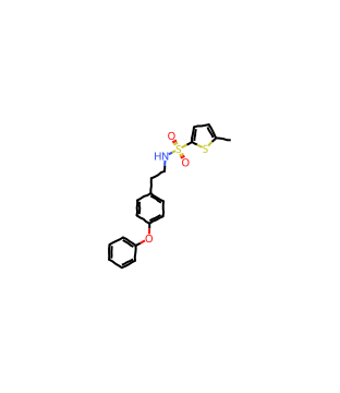 Cc1ccc(S(=O)(=O)NCCc2ccc(Oc3ccccc3)cc2)s1